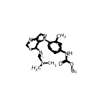 Cc1cc(NC(=O)OC(C)(C)C)ccc1-n1ncc2ncnc(/N=C/N(C)C)c21